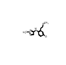 COCCc1cc(Cl)ccc1Nc1cnn(C)n1